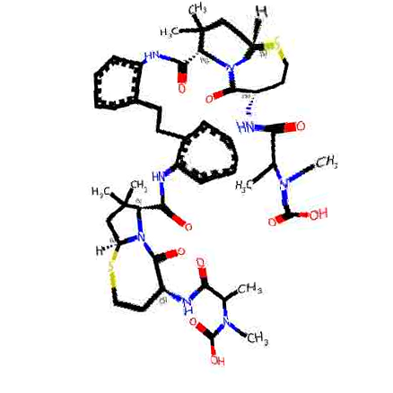 CC(C(=O)N[C@H]1CCS[C@H]2CC(C)(C)[C@@H](C(=O)Nc3ccccc3CCc3ccccc3NC(=O)[C@H]3N4C(=O)[C@@H](NC(=O)C(C)N(C)C(=O)O)CCS[C@H]4CC3(C)C)N2C1=O)N(C)C(=O)O